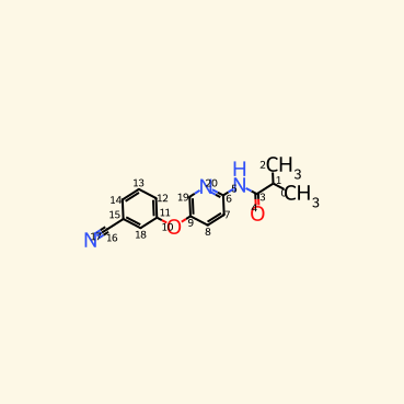 CC(C)C(=O)Nc1ccc(Oc2cccc(C#N)c2)cn1